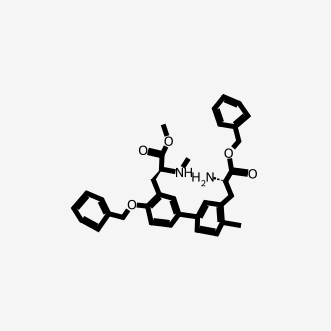 CN[C@@H](Cc1cc(-c2ccc(C)c(C[C@H](N)C(=O)OCc3ccccc3)c2)ccc1OCc1ccccc1)C(=O)OC